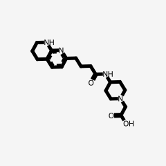 O=C(O)CN1CCC(NC(=O)CCCc2ccc3c(n2)NCCC3)CC1